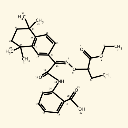 CCOC(=O)C(CC)ON=C(C(=O)Nc1ccccc1C(=O)O)c1ccc2c(c1)C(C)(C)CCC2(C)C